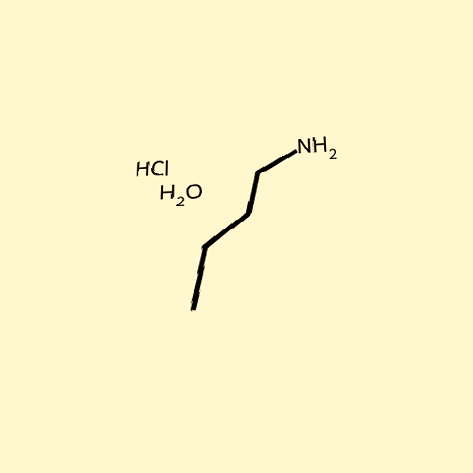 CCCCN.Cl.O